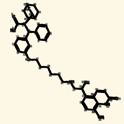 O=C(O)N(C(c1ccccc1)c1cccc(OCCCCCCNCC(O)c2ccc(O)c3[nH]c(=O)ccc23)c1)C1CN2CCC1CC2